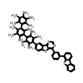 Bc1c(B)c(B)c(-c2c(B)c(B)c(B)c(-c3c(B)c(B)c(-c4ccc5sc6c(-c7cccc(-c8cccc9c8sc8ccccc89)c7)ncnc6c5c4)c(B)c3B)c2B)c(B)c1B